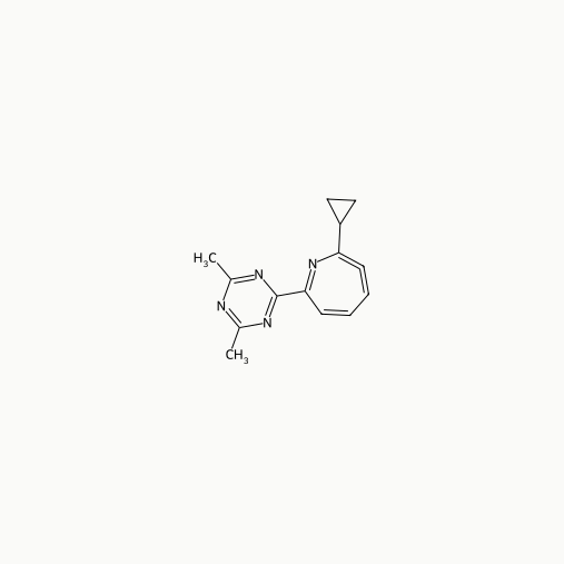 Cc1nc(C)nc(C2=NC(C3CC3)=C=CC=C2)n1